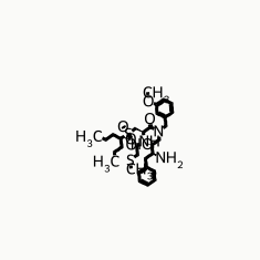 CCCC(CCC)S(=O)(=O)C[C@H](NC(=O)CSC)C(=O)N(Cc1cccc(OC)c1)C[C@@H](O)[C@@H](N)Cc1ccccc1